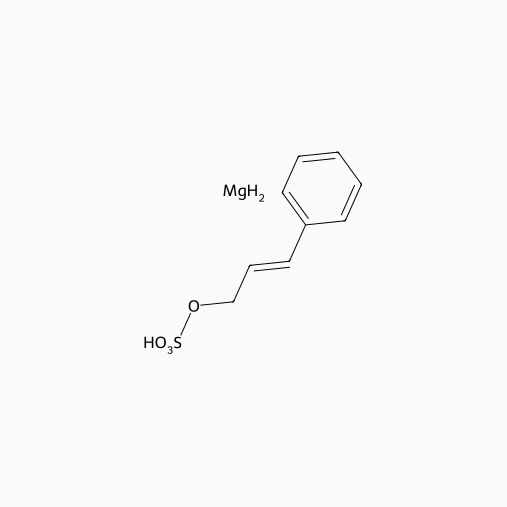 O=S(=O)(O)OC/C=C/c1ccccc1.[MgH2]